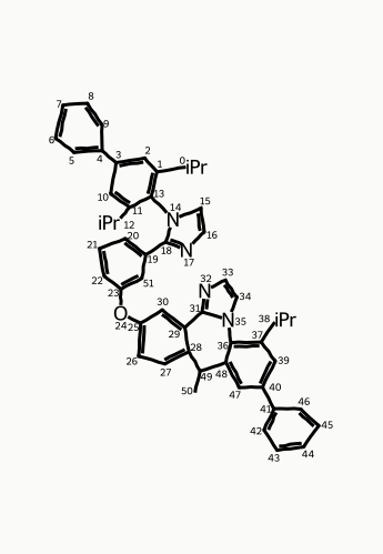 CC(C)c1cc(-c2ccccc2)cc(C(C)C)c1-n1ccnc1-c1cccc(Oc2ccc3c(c2)-c2nccn2-c2c(C(C)C)cc(-c4ccccc4)cc2C3C)c1